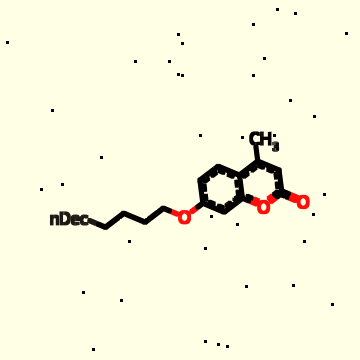 CCCCCCCCCCCCCCOc1ccc2c(C)cc(=O)oc2c1